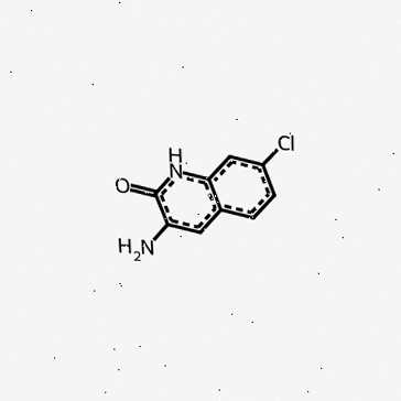 Nc1cc2ccc(Cl)cc2[nH]c1=O